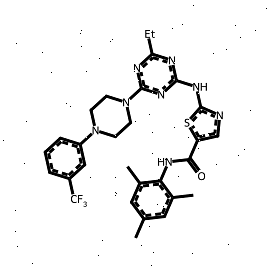 CCc1nc(Nc2ncc(C(=O)Nc3c(C)cc(C)cc3C)s2)nc(N2CCN(c3cccc(C(F)(F)F)c3)CC2)n1